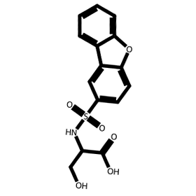 O=C(O)C(CO)NS(=O)(=O)c1ccc2oc3ccccc3c2c1